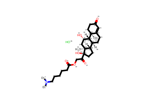 CCN(CC)CCCCCC(=O)OCC(=O)[C@@]1(O)CC[C@H]2[C@@H]3CCC4=CC(=O)CC[C@]4(C)[C@H]3[C@@H](O)C[C@@]21C.Cl